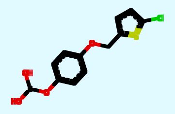 OB(O)Oc1ccc(OCc2ccc(Cl)s2)cc1